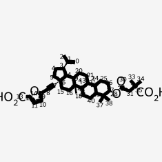 C=C(C)[C@@H]1CC[C@]2(C#Cc3ccc(C(=O)O)o3)CC[C@]3(C)C(CCC4[C@@]5(C)CC[C@H](OC(=O)CC(C)(C)C(=O)O)C(C)(C)C5CC[C@]43C)C12